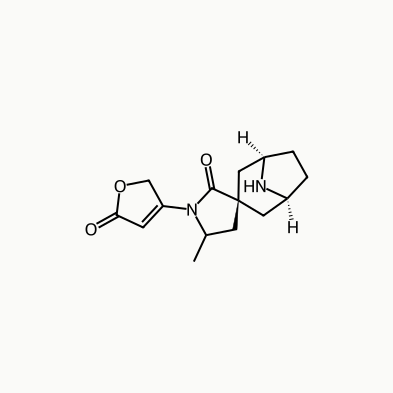 CC1C[C@]2(C[C@H]3CC[C@@H](C2)N3)C(=O)N1C1=CC(=O)OC1